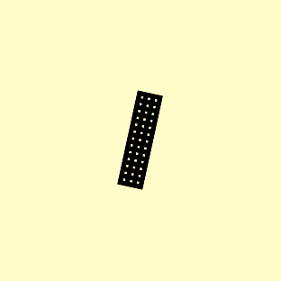 C1C2C3CC4C5C6C7C8C9C%10C%11C%12C%13C%14C%15CC%16C%17CC%18C%19C%20C%21C%22C%23C%24C%25C%26C%27C%28C1C21C34C52C%281C%271C62C72C%261C%251C82C92C%241C%231C%223C%214C%205C%196C%17%18C%16%15C%146C%135C%124C%113C%1012